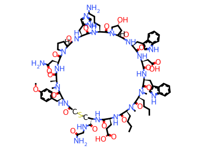 CCCC[C@H]1C(=O)N(C)[C@@H](CCCC)C(=O)N[C@@H](CCC(=O)O)C(=O)N[C@H](C(=O)NCC(N)=O)CSCC(=O)N[C@@H](Cc2ccc(OC)cc2)C(=O)N(C)[C@@H](C)C(=O)N[C@@H](CC(N)=O)C(=O)N2CCC[C@H]2C(=O)N[C@@H](Cc2cnc[nH]2)C(=O)N[C@@H](CCCCN)C(=O)N2C[C@H](O)C[C@H]2C(=O)N[C@@H](Cc2c[nH]c3ccccc23)C(=O)N[C@@H](CC(=O)O)C(=O)N[C@@H](Cc2c[nH]c3ccccc23)C(=O)N1C